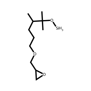 CC(CCCOCC1CO1)C(C)(C)O[SiH3]